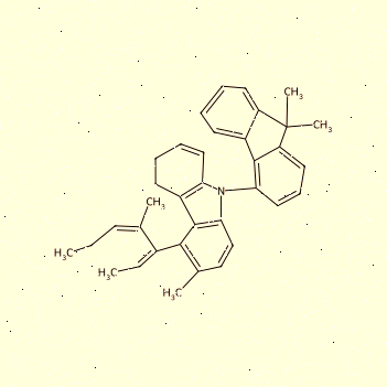 C/C=C(\C(C)=C/CC)c1c(C)ccc2c1c1c(n2-c2cccc3c2-c2ccccc2C3(C)C)C=CCC1